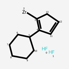 F.F.[Zr][C]1=C(C2CCCCC2)C=CC1